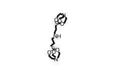 C(CNCCC[Si]12OCCN(CCO1)CCO2)C[Si]12OCCN(CCO1)CCO2